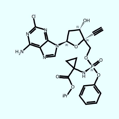 C#C[C@]1(CO[P@@](=O)(NC2(C(=O)OC(C)C)CC2)Oc2ccccc2)O[C@@H](n2cnc3c(N)nc(Cl)nc32)C[C@@H]1O